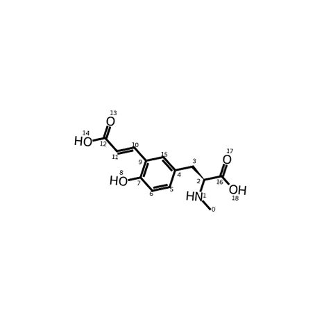 CN[C@@H](Cc1ccc(O)c(/C=C/C(=O)O)c1)C(=O)O